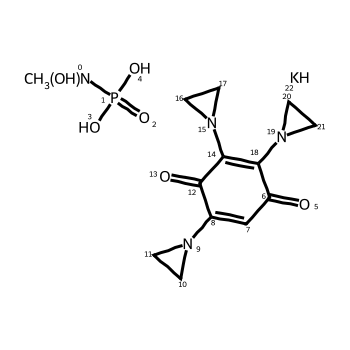 CN(O)P(=O)(O)O.O=C1C=C(N2CC2)C(=O)C(N2CC2)=C1N1CC1.[KH]